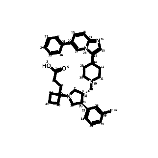 O=C(O)CCC1(N2C[C@H](CN3CCC(c4cnc5ccc(-c6ccccc6)cn45)CC3)[C@@H](c3cccc(F)c3)C2)CCC1